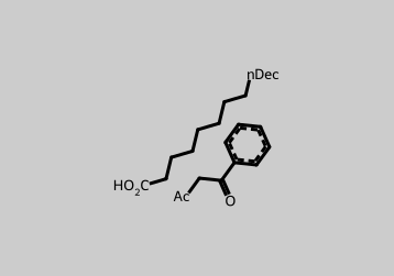 CC(=O)CC(=O)c1ccccc1.CCCCCCCCCCCCCCCCCC(=O)O